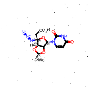 CO[C@@H]1OC2[C@H](n3ccc(=O)[nH]c3=O)O[C@@](CC(=O)O)(N=[N+]=[N-])[C@H]2O1